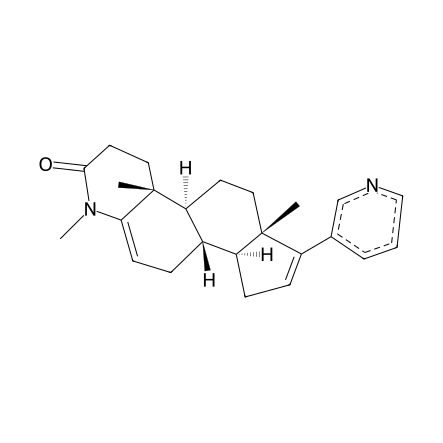 CN1C(=O)CC[C@@]2(C)C1=CC[C@@H]1[C@@H]2CC[C@]2(C)C(c3cccnc3)=CC[C@@H]12